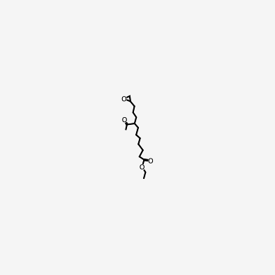 CCOC(=O)CCCCCCC(CCCC1CO1)C(C)=O